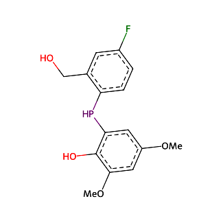 COc1cc(OC)c(O)c(Pc2ccc(F)cc2CO)c1